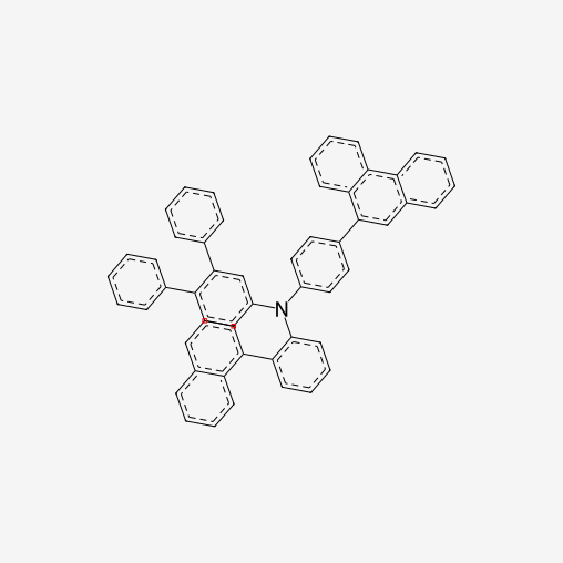 c1ccc(-c2ccc(N(c3ccc(-c4cc5ccccc5c5ccccc45)cc3)c3ccccc3-c3cccc4ccccc34)cc2-c2ccccc2)cc1